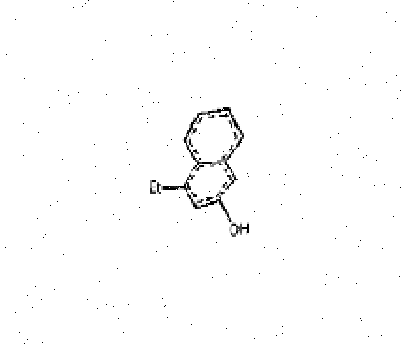 [CH2]Cc1cc(O)cc2ccccc12